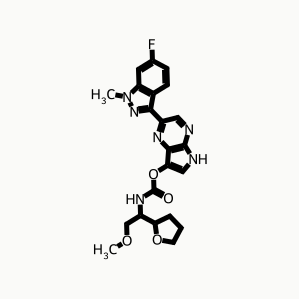 COCC(NC(=O)Oc1c[nH]c2ncc(-c3nn(C)c4cc(F)ccc34)nc12)C1CCCO1